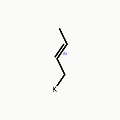 C/C=C/[CH2][K]